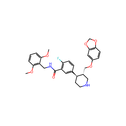 COc1cccc(OC)c1CNC(=O)c1cc([C@@H]2CCNC[C@H]2COc2ccc3c(c2)OCO3)ccc1F